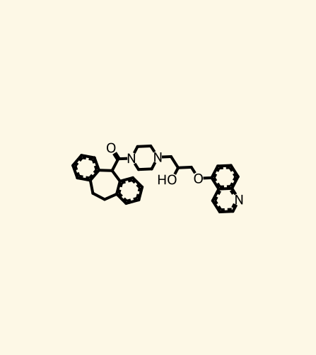 O=C(C1c2ccccc2CCc2ccccc21)N1CCN(CC(O)COc2cccc3ncccc23)CC1